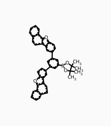 CC1(C)OB(c2cc(-c3ccc4oc5c6ccccc6ccc5c4c3)cc(-c3ccc4oc5c6ccccc6ccc5c4c3)c2)OC1(C)C